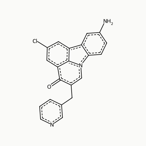 Nc1ccc2c(c1)c1cc(Cl)cc3c(=O)c(Cc4cccnc4)cn2c31